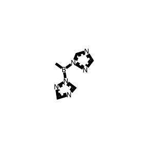 CB(n1cncn1)n1cncn1